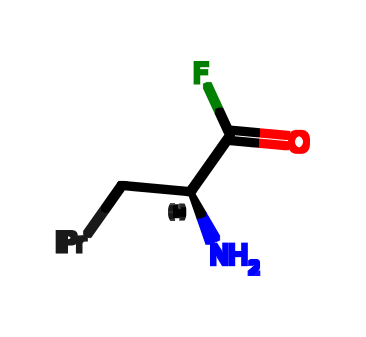 CC(C)C[C@H](N)C(=O)F